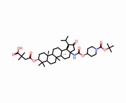 CC(C)C1=C2C3CCC4C(C)(CCC5C(C)(C)[C@@H](OC(=O)CC(C)(C)C(=O)O)CC[C@@]54C)[C@]3(C)CCC2(NC(=O)OC2CCN(C(=O)OC(C)(C)C)CC2)CC1=O